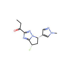 CCC(=O)c1nc2n(n1)[C@H](c1cnn(C)c1)C[C@@H]2F